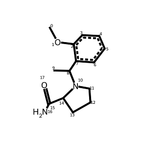 COc1ccccc1C(C)N1CCCC1C(N)=O